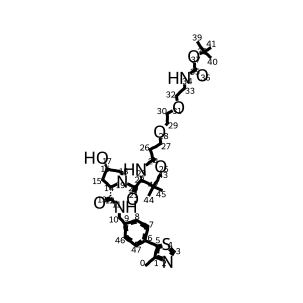 Cc1ncsc1-c1ccc(CNC(=O)[C@@H]2C[C@@H](O)CN2C(=O)[C@@H](NC(=O)CCOCCOCCNC(=O)OC(C)(C)C)C(C)(C)C)cc1